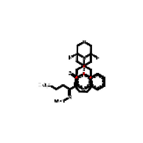 CCOC(=O)CCC(=NOC)c1nc2ccccc2n([C@H]2C[C@H]3COC[C@@H](C2)N3C2CC3CCCCC(C3)C2)c1=O